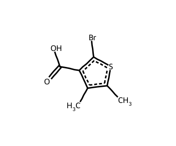 Cc1sc(Br)c(C(=O)O)c1C